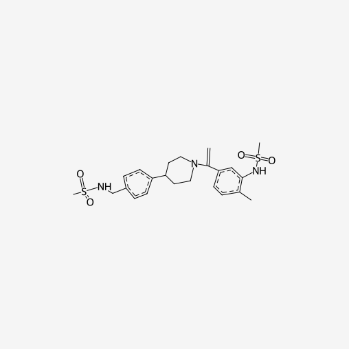 C=C(c1ccc(C)c(NS(C)(=O)=O)c1)N1CCC(c2ccc(CNS(C)(=O)=O)cc2)CC1